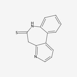 S=C1Cc2ncccc2-c2ccccc2N1